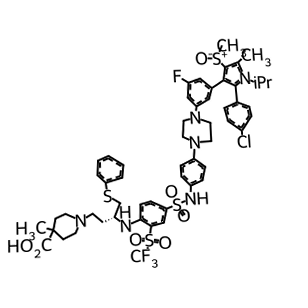 Cc1c([S+](C)[O-])c(-c2cc(F)cc(N3CCN(c4ccc(NS(=O)(=O)c5ccc(N[C@H](CCN6CCC(C)(C(=O)O)CC6)CSc6ccccc6)c(S(=O)(=O)C(F)(F)F)c5)cc4)CC3)c2)c(-c2ccc(Cl)cc2)n1C(C)C